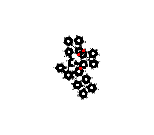 c1ccc([Si](c2ccccc2)(c2ccccc2)c2cccc(-c3cc(-n4c5ccccc5c5ccc6c(c7ccccc7n6-c6cccc([Si](c7ccccc7)(c7ccccc7)c7ccccc7)c6)c54)nc(-c4cccc([Si](c5ccccc5)(c5ccccc5)c5ccccc5)c4)n3)c2)cc1